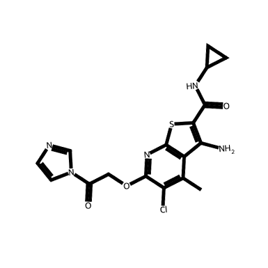 Cc1c(Cl)c(OCC(=O)n2ccnc2)nc2sc(C(=O)NC3CC3)c(N)c12